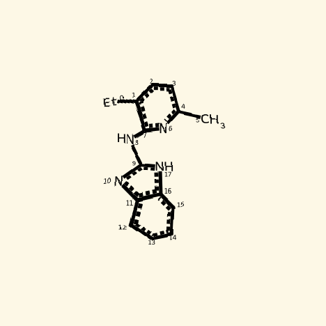 CCc1ccc(C)nc1Nc1nc2ccccc2[nH]1